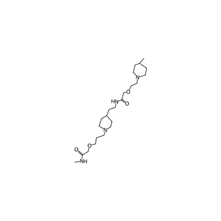 CNC(=O)COCCCN1CCC(CCNC(=O)COCCN2CCC(C)CC2)CC1